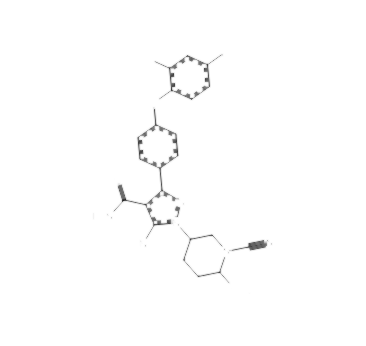 Cc1cc(F)ccc1Oc1ccc(-c2nn(C3CCC(C)N(C#N)C3)c(N)c2C(N)=O)cc1